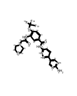 Nc1ncc(-c2ccc(NC(=O)c3ccc(OC(F)(F)F)c(NC(=O)CN4CCOCC4)c3)nn2)cn1